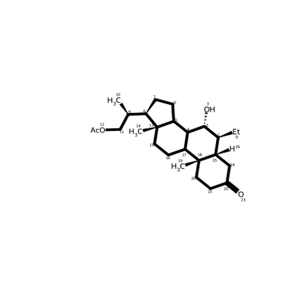 CC[C@@H]1[C@@H](O)C2C3CC[C@H]([C@H](C)COC(C)=O)[C@@]3(C)CCC2[C@@]2(C)CCC(=O)C[C@@H]12